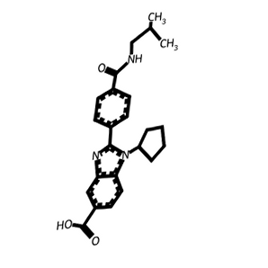 CC(C)CNC(=O)c1ccc(-c2nc3cc(C(=O)O)ccc3n2C2CCCC2)cc1